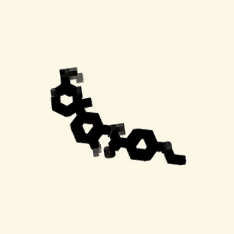 CCOc1ccc(C(=O)Nc2cc(C3(C)CCSC(N)=N3)ccc2F)cc1